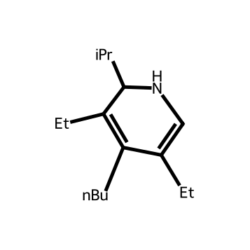 CCCCC1=C(CC)C(C(C)C)NC=C1CC